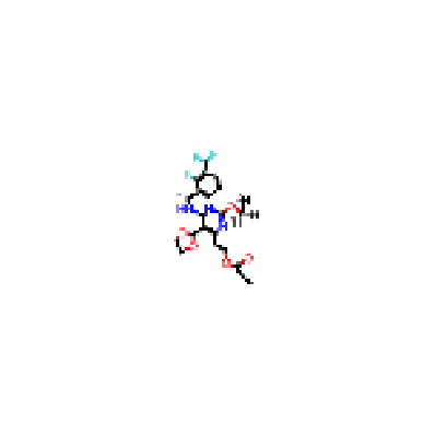 [2H]C([2H])([2H])Oc1nc(CCOC(=O)CC)c(C2OCCO2)c(N[C@H](C)c2cccc(C(F)F)c2F)n1